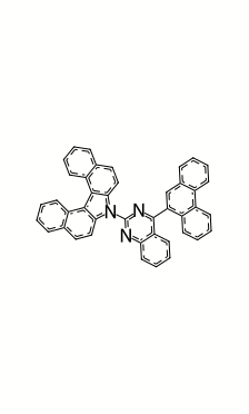 c1ccc2c(c1)cc(-c1nc(-n3c4ccc5ccccc5c4c4c5ccccc5ccc43)nc3ccccc13)c1ccccc12